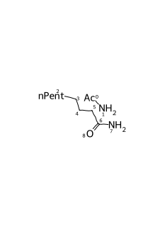 CC(N)=O.CCCCCCCCC(N)=O